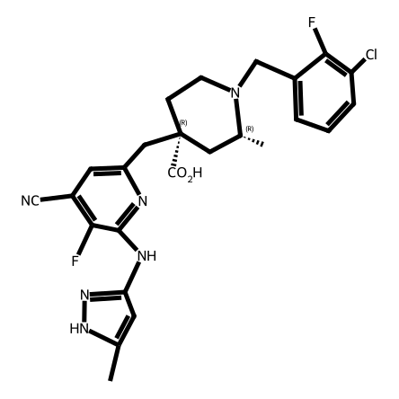 Cc1cc(Nc2nc(C[C@@]3(C(=O)O)CCN(Cc4cccc(Cl)c4F)[C@H](C)C3)cc(C#N)c2F)n[nH]1